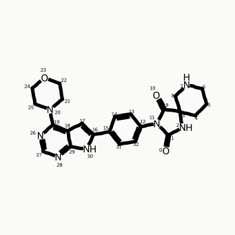 O=C1NC2(CCCNC2)C(=O)N1c1ccc(-c2cc3c(N4CCOCC4)ncnc3[nH]2)cc1